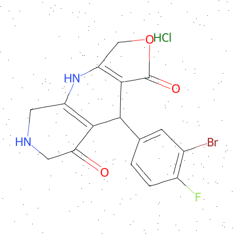 Cl.O=C1CNCC2=C1C(c1ccc(F)c(Br)c1)C1=C(COC1=O)N2